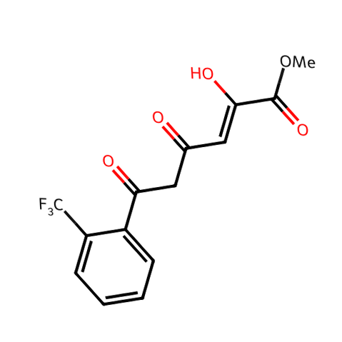 COC(=O)C(O)=CC(=O)CC(=O)c1ccccc1C(F)(F)F